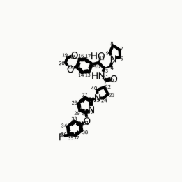 O=C(N[C@H](CN1CCCC1)[C@H](O)c1ccc2c(c1)OCCO2)[C@@H]1CCN(c2cccc(Oc3ccc(F)cc3)n2)C1